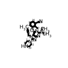 CC#CCn1c(N2CCNCC2)nc2nc(N(C)C)n(Cc3ccccc3C#N)c(=O)c21